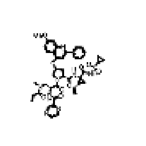 C=CC(=O)N(C)C[C@H](NC(=O)c1cnccn1)C(=O)N1CC(Oc2cc(-c3ccccc3)nc3cc(OC)ccc23)C[C@H]1C(=O)N[C@]1(C(=O)NS(=O)(=O)C2CC2)C[C@H]1C=C